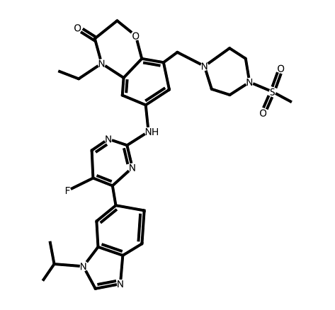 CCN1C(=O)COc2c(CN3CCN(S(C)(=O)=O)CC3)cc(Nc3ncc(F)c(-c4ccc5ncn(C(C)C)c5c4)n3)cc21